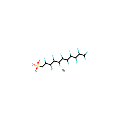 O=S(=O)([O-])CC(F)C(F)C(F)C(F)C(F)C(F)C(F)C(F)C(F)C(F)F.[Na+]